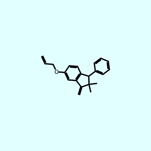 C=CCOc1ccc2c(c1)C(=C)C(C)(C)C2c1ccccc1